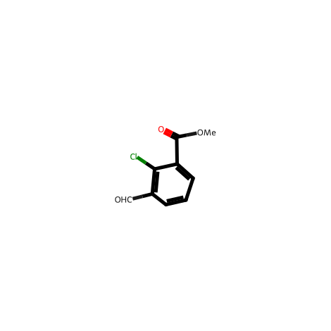 COC(=O)c1cccc(C=O)c1Cl